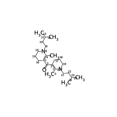 CC1=C(C(=O)C2=C(C)N(CCC(C)C)CCC2)CCCN1CCC(C)C